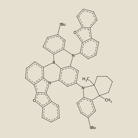 CC(C)(C)c1ccc2c(c1)N(c1cccc3c1oc1ccccc13)c1cc(N3c4ccc(C(C)(C)C)cc4C4(C)CCCCC34C)cc3c1B2c1cccc2c4oc5ccccc5c4n-3c12